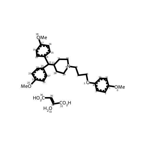 COc1ccc(OCCCN2CCC(C(c3ccc(OC)cc3)c3ccc(OC)cc3)CC2)cc1.O.O=C(O)/C=C/C(=O)O